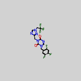 O=c1ncn(Cc2cc(F)c(F)cc2F)c(=O)n1Cc1ncn(CC(F)(F)F)n1